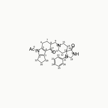 CC(=O)n1c2c(c3c1CCC(CN1CCC4(CC1)C(=O)NCN4c1ccccc1)C3=O)CCC2